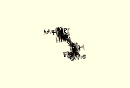 COC(=O)N[C@H](C(=O)N1CCC[C@H]1c1nc2c([nH]1)CCc1cc(C#Cc3cc(F)c4nc([C@@H]5CCCN5C(=O)[C@@H](NC(=O)OC)C(C)C)[nH]c4c3)ccc1-2)C(C)C